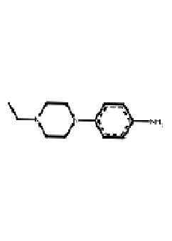 CCN1CCN(c2c[c]c(N)cc2)CC1